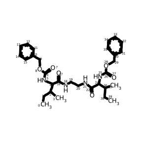 CCC(C)C(NC(=O)OCc1ccccc1)C(=O)NCCNC(=O)C(NC(=O)OCc1ccccc1)C(C)CC